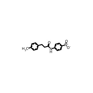 Cc1ccc(CCC(=O)Nc2ccc([N+](=O)[O-])cc2)cc1